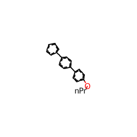 CCCOc1ccc(-c2ccc(-c3ccccc3)cc2)cc1